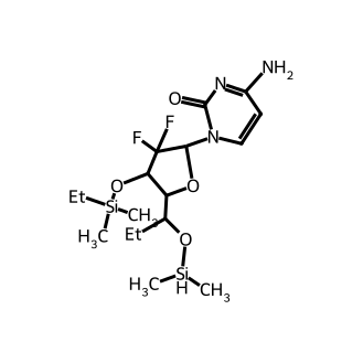 CCC(O[SiH](C)C)C1OC(n2ccc(N)nc2=O)C(F)(F)C1O[Si](C)(C)CC